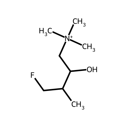 CC(CF)C(O)C[N+](C)(C)C